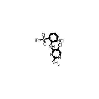 CC(C)S(=O)(=O)c1ccccc1Nc1nc(N)ncc1Cl.Cl